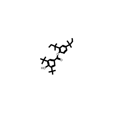 CCC(C)(C)c1ccc(OC(=O)c2cc(C(C)(C)C)c(O)c(C(C)(C)C)c2)c(C(C)(C)CC)c1